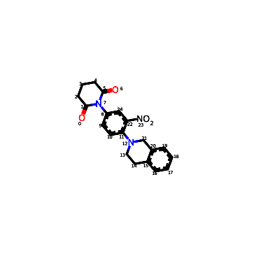 O=C1CCCC(=O)N1c1ccc(N2CCc3ccccc3C2)c([N+](=O)[O-])c1